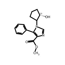 COC(=O)c1ncn(C2CCC[C@@H]2O)c1-c1ccccc1